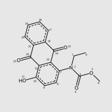 CCN(C(=O)OC)c1ccc(O)c2c1C(=O)c1ccccc1C2=O